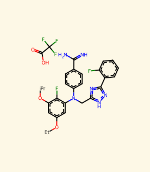 CCOc1cc(OC(C)C)c(F)c(N(Cc2nc(-c3ccccc3F)n[nH]2)c2ccc(C(=N)N)cc2)c1.O=C(O)C(F)(F)F